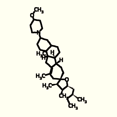 CC[C@@H](C)C[C@H]1O[C@]2(CC[C@@H]3C(=C(C)C2)C[C@H]2[C@H]3CCC3CC(N4CCC(OC)CC4)CC[C@@]32C)[C@H](C)[C@@H]1C